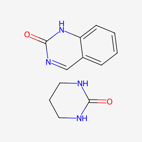 O=C1NCCCN1.O=c1ncc2ccccc2[nH]1